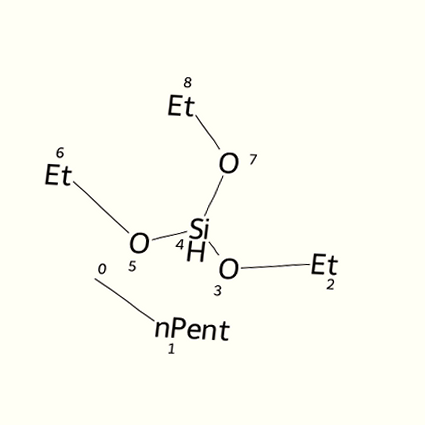 CCCCCC.CCO[SiH](OCC)OCC